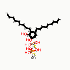 CCCCCCCCCc1cccc(O)c1CCCCCCCCC.OP(O)(O)=S.OP(O)(O)=S.[Zn]